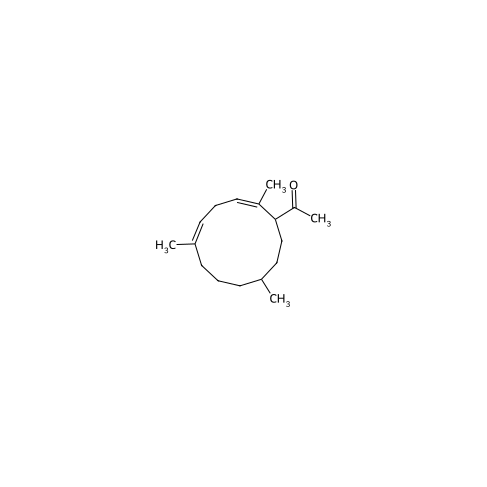 CC(=O)C1CCC(C)CCCC(C)=CCC=C1C